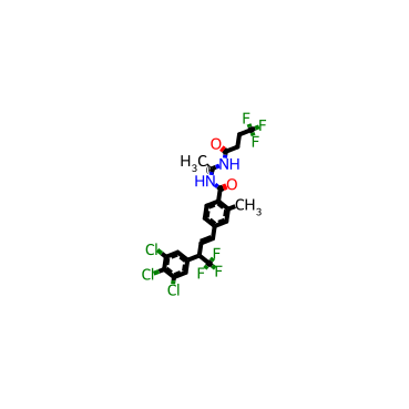 Cc1cc(C=CC(c2cc(Cl)c(Cl)c(Cl)c2)C(F)(F)F)ccc1C(=O)N[C@H](C)NC(=O)CCC(F)(F)F